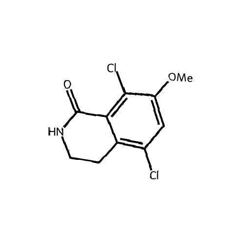 COc1cc(Cl)c2c(c1Cl)C(=O)NCC2